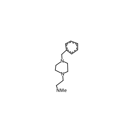 CNCCN1CCN(Cc2ccccc2)CC1